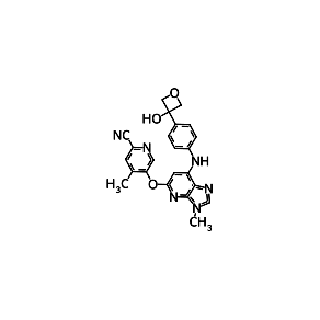 Cc1cc(C#N)ncc1Oc1cc(Nc2ccc(C3(O)COC3)cc2)c2ncn(C)c2n1